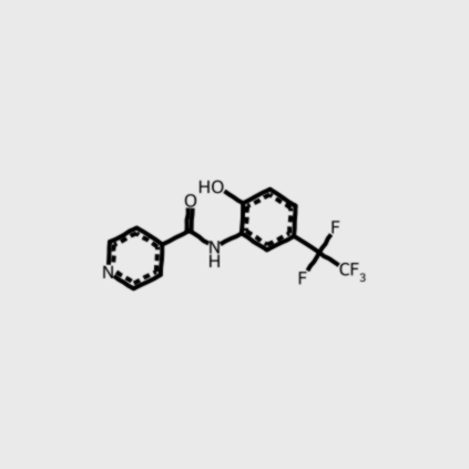 O=C(Nc1cc(C(F)(F)C(F)(F)F)ccc1O)c1ccncc1